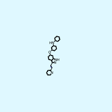 C(=C\c1n[nH]c2cc(Oc3cccc(Nc4ccccc4)c3)ccc12)/c1ccccn1